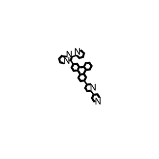 c1ccc(-c2nc3ccccn3c2-c2ccc3c4ccc(-c5ccc(-c6ccncc6)nc5)cc4c4ccccc4c3c2)nc1